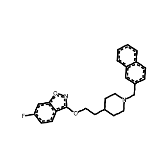 Fc1ccc2c(OCCC3CCN(Cc4ccc5ccccc5c4)CC3)noc2c1